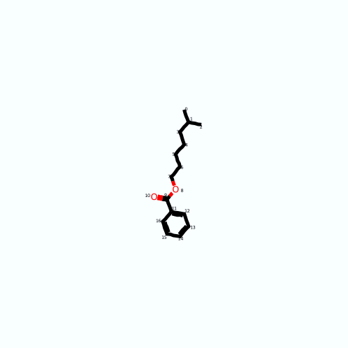 CC(C)CCCCCOC(=O)c1ccccc1